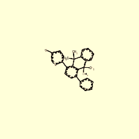 CC1(C)c2ccccc2C(C)(C)c2c(-c3ccc(Cl)cn3)ccc(-c3ccccc3)c21